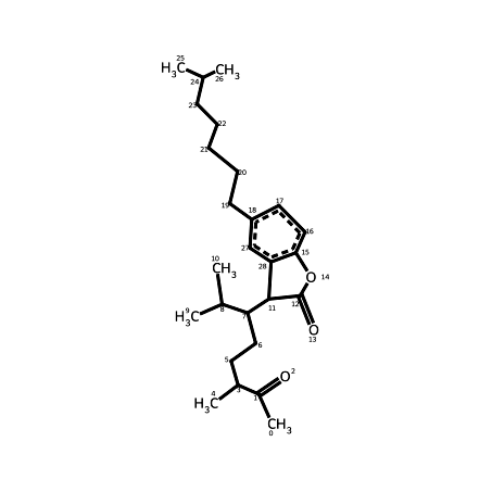 CC(=O)C(C)CCC(C(C)C)C1C(=O)Oc2ccc(CCCCCC(C)C)cc21